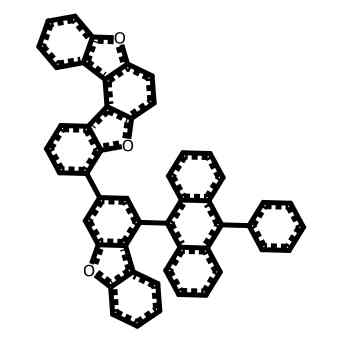 c1ccc(-c2c3ccccc3c(-c3cc(-c4cccc5c4oc4ccc6oc7ccccc7c6c45)cc4oc5ccccc5c34)c3ccccc23)cc1